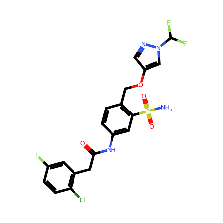 NS(=O)(=O)c1cc(NC(=O)Cc2cc(F)ccc2Cl)ccc1COc1cnn(C(F)F)c1